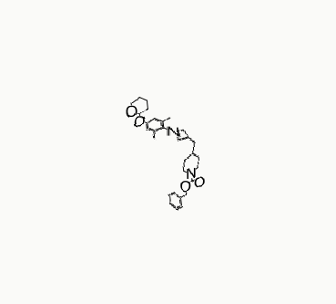 Cc1cc(OC2CCCCO2)cc(C)c1N1CC(CC2CCN(C(=O)OCc3ccccc3)CC2)C1